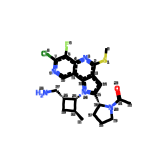 CSc1nc2c(F)c(Cl)ncc2c2c1cc([C@H]1CCCN1C(C)=O)n2[C@H]1[C@@H](CN)C[C@@H]1C